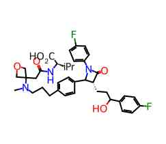 CC(C)[C@@H](NC(=O)CC1(N(C)CCCc2ccc(C3[C@@H](CCC(O)c4ccc(F)cc4)C(=O)N3c3ccc(F)cc3)cc2)COC1)C(=O)O